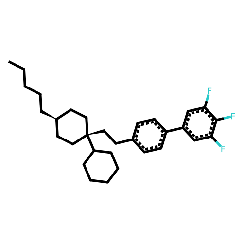 CCCCC[C@H]1CC[C@](CCc2ccc(-c3cc(F)c(F)c(F)c3)cc2)(C2CCCCC2)CC1